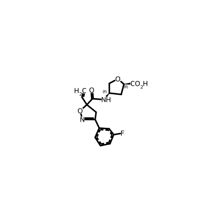 C=CC1(C(=O)N[C@H]2CO[C@@H](C(=O)O)C2)CC(c2cccc(F)c2)=NO1